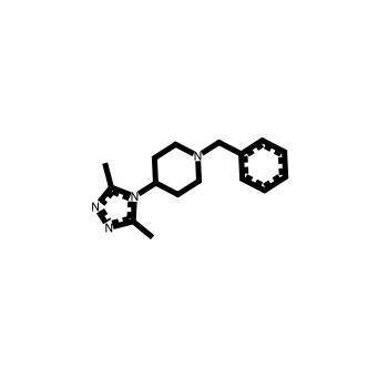 Cc1nnc(C)n1C1CCN(Cc2ccccc2)CC1